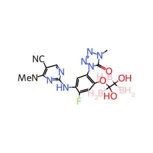 BC(B)(O)C(B)(O)Oc1cc(F)c(Nc2ncc(C#N)c(NC)n2)cc1-n1nnn(C)c1=O